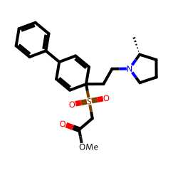 COC(=O)CS(=O)(=O)C1(CCN2CCC[C@H]2C)C=CC(c2ccccc2)C=C1